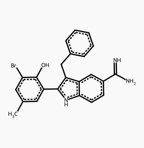 Cc1cc(Br)c(O)c(-c2[nH]c3ccc(C(=N)N)cc3c2Cc2ccccc2)c1